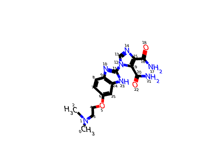 CN(C)CCOc1ccc2nc(-n3cnc(C(N)=O)c3C(N)=O)[nH]c2c1